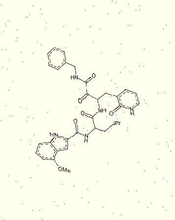 COc1cccc2[nH]c(C(=O)NC(CC(C)C)C(=O)NC(Cc3ccc[nH]c3=O)C(=O)C(=O)NCc3ccccc3)cc12